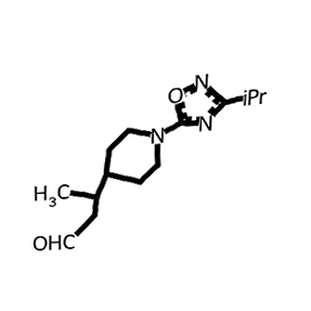 CC(C)c1noc(N2CCC(C(C)CC=O)CC2)n1